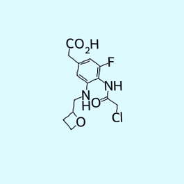 O=C(O)Cc1cc(F)c(NC(=O)CCl)c(NCC2CCO2)c1